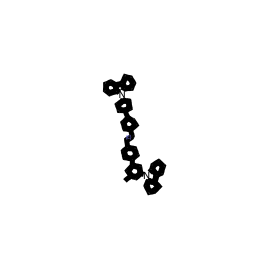 Cc1cc(-c2ccc(/C=C/c3ccc(-c4ccc(-n5c6ccccc6c6ccccc65)cc4)cc3)cc2)cc(-n2c3ccccc3c3ccccc32)c1